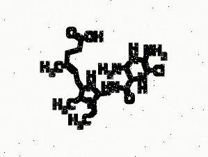 CCN1C(CNC(=O)C2NC(Cl)=C(N)NC2N)NC(C/C=C(\C)CCC(=O)O)C1C